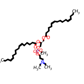 CCC/C=C\CCCC/C=C\CCCCC(=O)OC[C@H](COP(=O)(OC)OCCCN(CC)CC)OC(=O)CCCC/C=C\CCCC/C=C\CCC